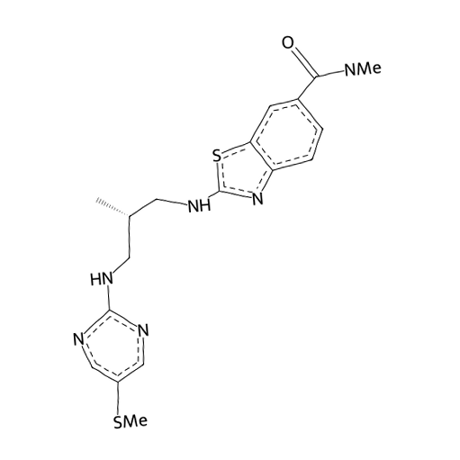 CNC(=O)c1ccc2nc(NC[C@@H](C)CNc3ncc(SC)cn3)sc2c1